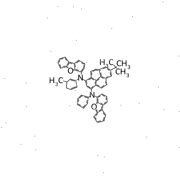 CC1C=C(N(c2cc(N(c3ccccc3)c3cccc4c3oc3ccccc34)c3ccc4cc(C(C)(C)C)cc5ccc2c3c54)c2cccc3c2oc2ccccc23)C=CC1